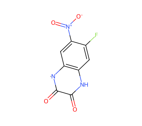 O=C1[N]c2cc([N+](=O)[O-])c(F)cc2NC1=O